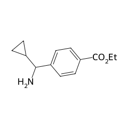 CCOC(=O)c1ccc(C(N)C2CC2)cc1